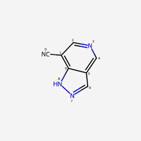 N#Cc1cncc2cn[nH]c12